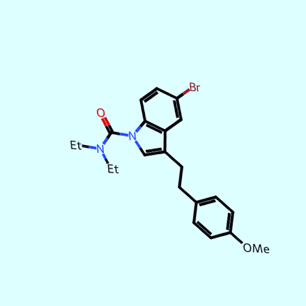 CCN(CC)C(=O)n1cc(CCc2ccc(OC)cc2)c2cc(Br)ccc21